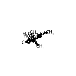 CCCCOc1ccc(C[C@H](NC(=O)OC(C)(C)C)c2nc(-c3ccc(Cl)cc3Cl)cn2CCCC)cc1